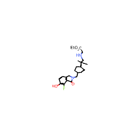 CCOC(=O)CNCC(C)(C)C1CCC(CN2Cc3ccc(O)c(F)c3C2=O)CC1